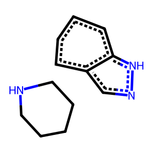 C1CCNCC1.c1ccc2[nH]ncc2c1